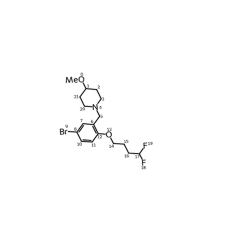 COC1CCN(Cc2cc(Br)ccc2OCCCC(F)F)CC1